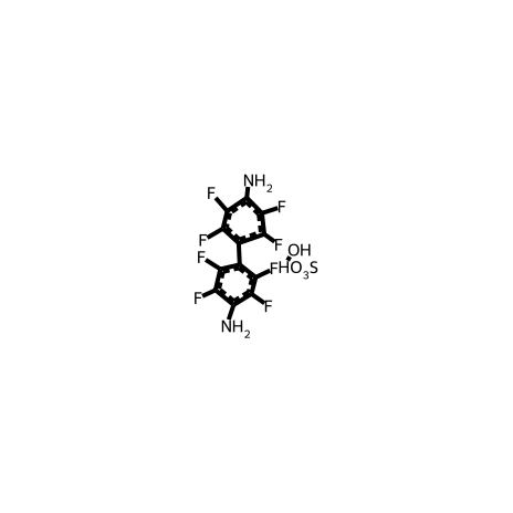 Nc1c(F)c(F)c(-c2c(F)c(F)c(N)c(F)c2F)c(F)c1F.O=S(=O)(O)O